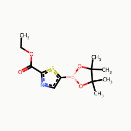 CCOC(=O)c1ncc(B2OC(C)(C)C(C)(C)O2)s1